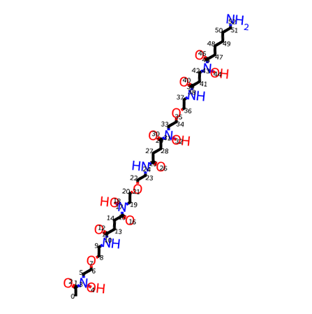 CC(=O)N(O)CCOCCNC(=O)CCC(=O)N(O)CCOCCNC(=O)CCC(=O)N(O)CCOCCNC(=O)CCN(O)C(=O)CCCCCN